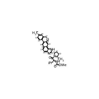 COC(=O)N[C@H](C(=O)N1[C@@H](C)CC[C@H]1c1nc2ccc3cc4c(cc3c2[nH]1)OCc1cc(C)ccc1-4)C(C)C